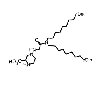 CCCCCCCCCCCCCCCCCCN(CCCCCCCCCCCCCCCCCC)C(=O)CNN1CCNC(C(=O)O)C1